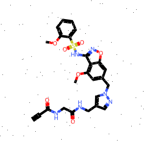 C#CC(=O)NCC(=O)NCc1cnn(Cc2cc(OC)c3c(NS(=O)(=O)c4ccccc4OC)noc3c2)c1